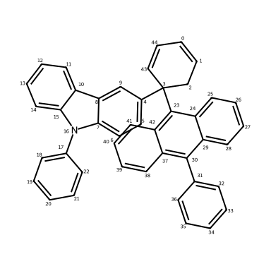 C1=CCC(c2ccc3c(c2)c2ccccc2n3-c2ccccc2)(c2c3ccccc3c(-c3ccccc3)c3ccccc23)C=C1